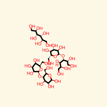 OC[C@@H](O)[C@@H](O)[C@H](O)[C@H](O)CO.OC[C@@H](O)[C@@H](O[C@@H]1O[C@H](CO)[C@H](O)[C@H](O)[C@H]1O)[C@H](O)[C@@H](O)CO.OC[C@H]1O[C@@H](O[C@H]2[C@H](O)[C@@H](O)[C@H](O)O[C@@H]2CO)[C@H](O)[C@@H](O)[C@H]1O